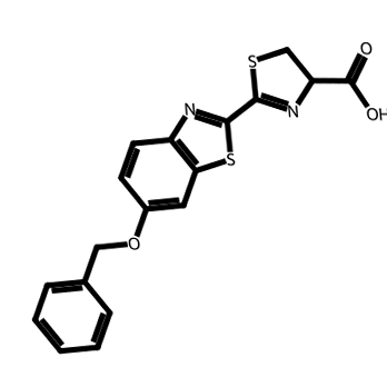 O=C(O)C1CSC(c2nc3ccc(OCc4ccccc4)cc3s2)=N1